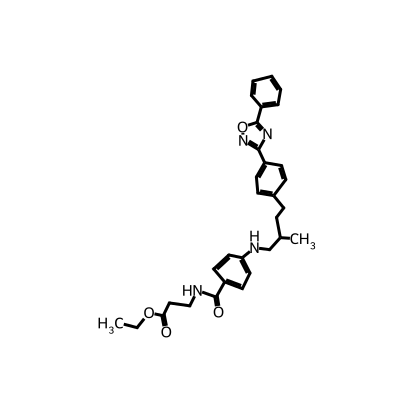 CCOC(=O)CCNC(=O)c1ccc(NCC(C)CCc2ccc(-c3noc(-c4ccccc4)n3)cc2)cc1